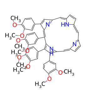 COc1ccc(C2=Cc3cc4ccc(cc5nc(cc6[nH]c(c(-c7ccc(OC)c(OC)c7)c2n3)c(-c2ccc(OC)c(OC)c2)c6-c2ccc(OC)c(OC)c2)C=C5)[nH]4)cc1OC